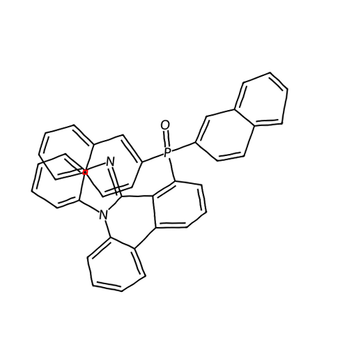 O=P(c1ccc2ccccc2c1)(c1ccc2ccccc2c1)c1cccc2c3ccccc3n3c4ccccc4nc3c12